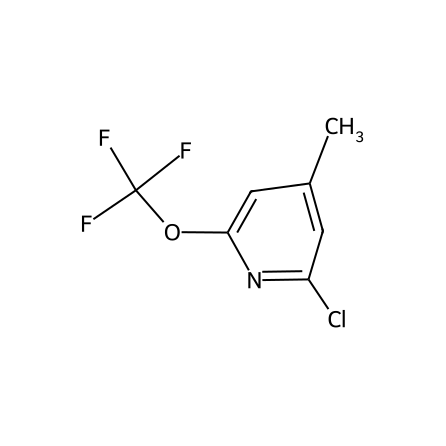 Cc1cc(Cl)nc(OC(F)(F)F)c1